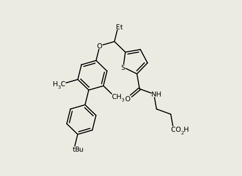 CCC(Oc1cc(C)c(-c2ccc(C(C)(C)C)cc2)c(C)c1)c1ccc(C(=O)NCCC(=O)O)s1